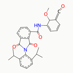 COC1C(=C=O)C=CC=C1NC(=O)c1cccc2c1C(=O)N(c1c(C(C)C)cccc1C(C)C)C2=O